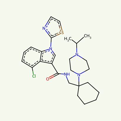 CC(C)N1CCN(C2(CNC(=O)c3cn(-c4nccs4)c4cccc(Cl)c34)CCCCC2)CC1